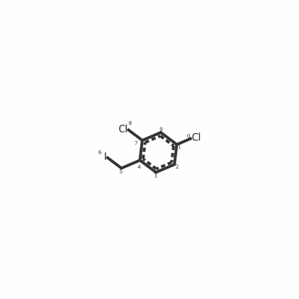 Clc1ccc(CI)c(Cl)c1